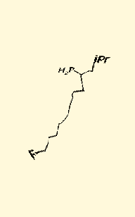 CC(C)CC(P)CCCCCCCF